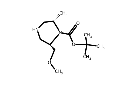 COC[C@H]1CNC[C@H](C)N1C(=O)OC(C)(C)C